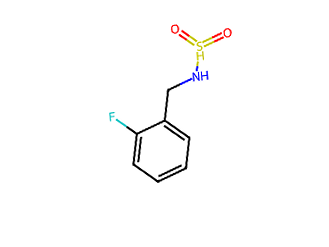 O=[SH](=O)NCc1ccccc1F